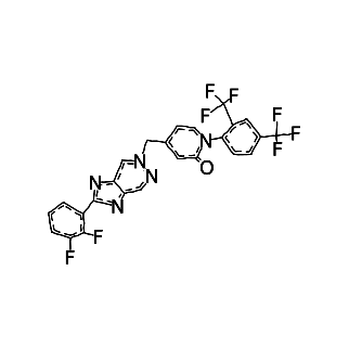 O=c1cc(Cn2cc3nc(-c4cccc(F)c4F)nc-3cn2)ccn1-c1ccc(C(F)(F)F)cc1C(F)(F)F